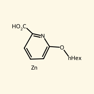 CCCCCCOc1cccc(C(=O)O)n1.[Zn]